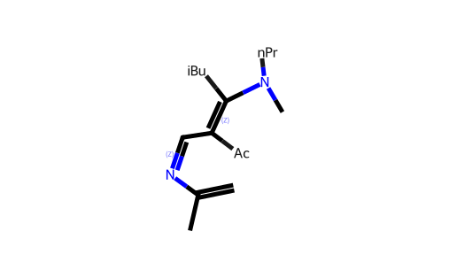 C=C(C)/N=C\C(C(C)=O)=C(/C(C)CC)N(C)CCC